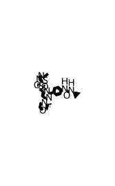 Cc1nnc(S(=O)(=O)Cc2cc(N3CCOC[C@@H]3C)nc(-c3ccc(NC(=O)NC4CC4)cc3)n2)s1